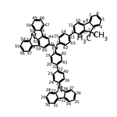 CC1(C)c2ccccc2-c2ccc(-c3ccc(N(c4ccc(-c5ccc(-n6c7ccccc7c7ccccc76)cc5)cc4)c4cc5c6ccccc6n6c7ccccc7c(c4)c56)cc3)cc21